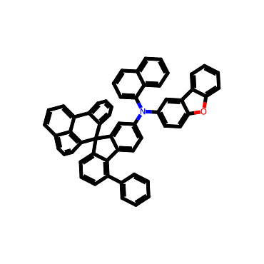 c1ccc(-c2cccc3c2-c2ccc(N(c4ccc5oc6ccccc6c5c4)c4cccc5ccccc45)cc2C32c3ccccc3-c3cccc4cccc2c34)cc1